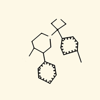 Cc1ccc(C2(N3CCC(C(=O)O)C(c4ccccc4)C3)COC2)cc1